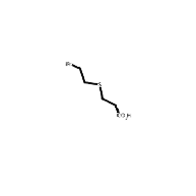 CC(C)CCSCCC(=O)O